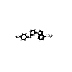 O=C(O)c1cccc2c1ccn2-c1ccnc(NC2CCC(O)CC2)n1